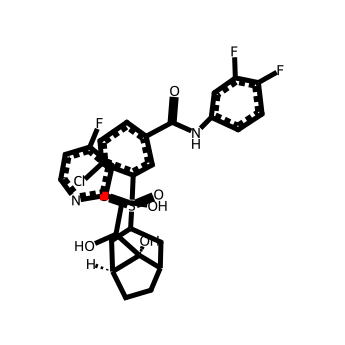 O=C(Nc1ccc(F)c(F)c1)c1ccc(Cl)c(S(=O)(=O)C2CC3CC[C@@H](C2)[C@@]3(O)C(O)C(O)c2cc(F)ccn2)c1